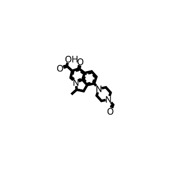 CC1Cc2c(N3CCN(C=O)CC3)ccc3c(=O)c(C(=O)O)cn1c23